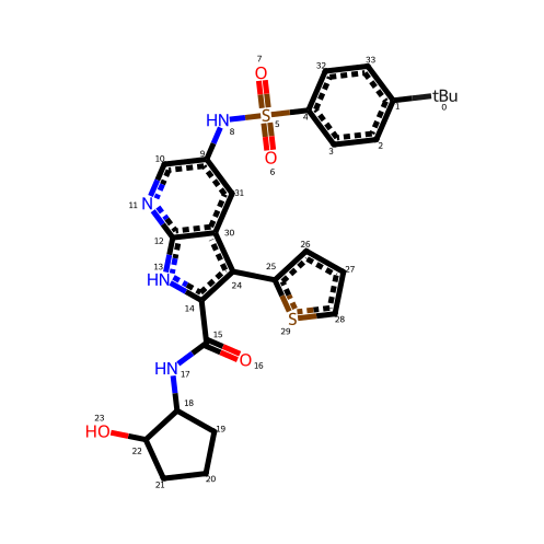 CC(C)(C)c1ccc(S(=O)(=O)Nc2cnc3[nH]c(C(=O)NC4CCCC4O)c(-c4cccs4)c3c2)cc1